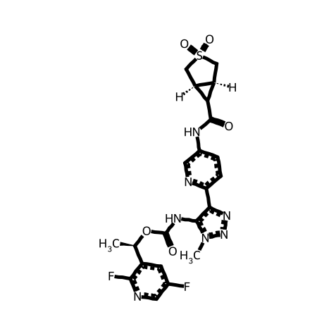 C[C@@H](OC(=O)Nc1c(-c2ccc(NC(=O)C3[C@H]4CS(=O)(=O)C[C@@H]34)cn2)nnn1C)c1cc(F)cnc1F